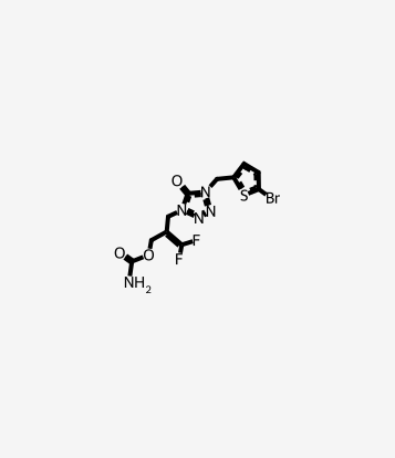 NC(=O)OCC(Cn1nnn(Cc2ccc(Br)s2)c1=O)=C(F)F